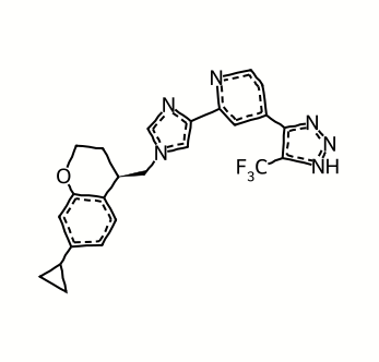 FC(F)(F)c1[nH]nnc1-c1ccnc(-c2cn(C[C@@H]3CCOc4cc(C5CC5)ccc43)cn2)c1